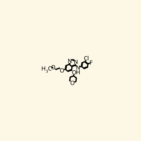 COCCOc1cc(OC2CCOCC2)c2c(Nc3ccc(F)c(Cl)c3)ncnc2c1